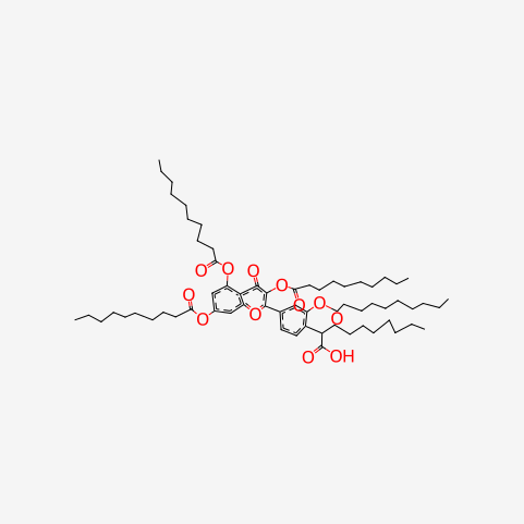 CCCCCCCCCC(=O)Oc1cc(OC(=O)CCCCCCCCC)c2c(=O)c(OC(=O)CCCCCCCCC)c(-c3ccc(C(CCCCCCCC)C(=O)O)c(OC(=O)CCCCCCCCC)c3)oc2c1